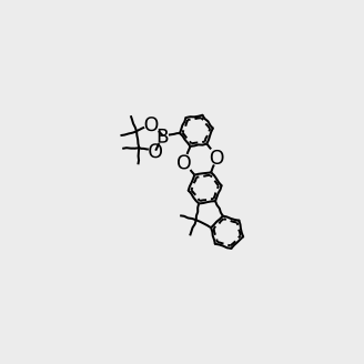 CC1(C)c2ccccc2-c2cc3c(cc21)Oc1c(cccc1B1OC(C)(C)C(C)(C)O1)O3